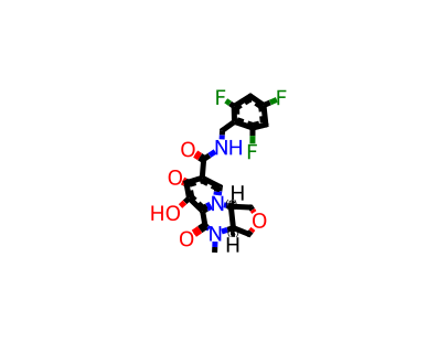 CN1C(=O)c2c(O)c(=O)c(C(=O)NCc3c(F)cc(F)cc3F)cn2[C@@H]2COC[C@@H]21